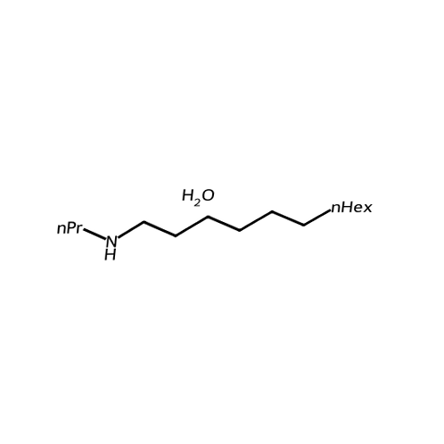 CCCCCCCCCCCCNCCC.O